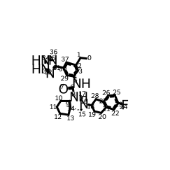 CCc1cc(NC(=O)N[C@@H]2CCCC[C@H]2CN(C)C2CCc3cc(F)ccc3C2)cc(C2=NNNN2C)c1